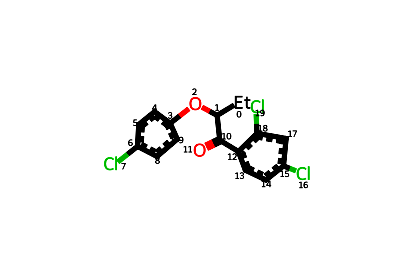 CCC(Oc1ccc(Cl)cc1)C(=O)c1ccc(Cl)cc1Cl